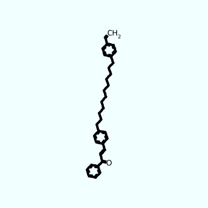 C=Cc1ccc(CCCCCCCCCCCCc2ccc(C=CC(=O)c3ccccc3)cc2)cc1